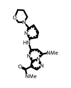 CNC(=O)c1cnn2c(NC)cc(Nc3cccc(N4CCCOC4)n3)nc12